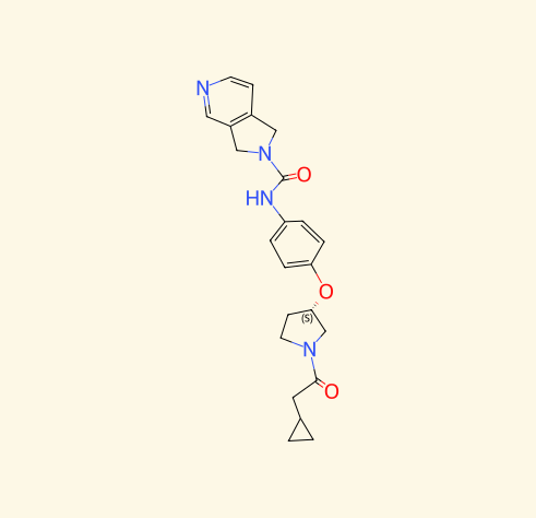 O=C(CC1CC1)N1CC[C@H](Oc2ccc(NC(=O)N3Cc4ccncc4C3)cc2)C1